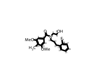 COc1cc(C(=O)N(CCO)CCCc2ccccc2F)cc(OC)c1C